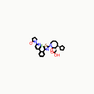 O=C(O)C[C@@H]1C(=O)N(c2nc(-c3ccccc3-c3ccc(N4CCCC4=O)nc3)c(F)s2)CCCC[C@H]1C1CCCC1